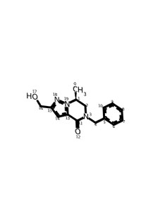 C[C@H]1CN(Cc2ccccc2)C(=O)c2cc(CO)nn21